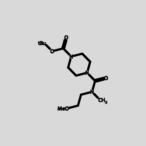 COCCN(C)C(=O)N1CCN(C(=O)OC(C)(C)C)CC1